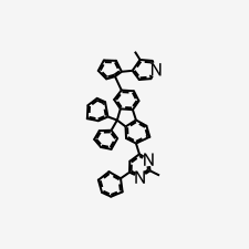 Cc1nc(-c2ccccc2)cc(-c2ccc3c(c2)C(c2ccccc2)(c2ccccc2)c2cc(-c4ccccc4-c4ccncc4C)ccc2-3)n1